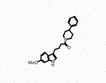 COc1ccc2c(CCCC(=O)N3CCC(c4ccccc4)CC3)c[nH]c2c1